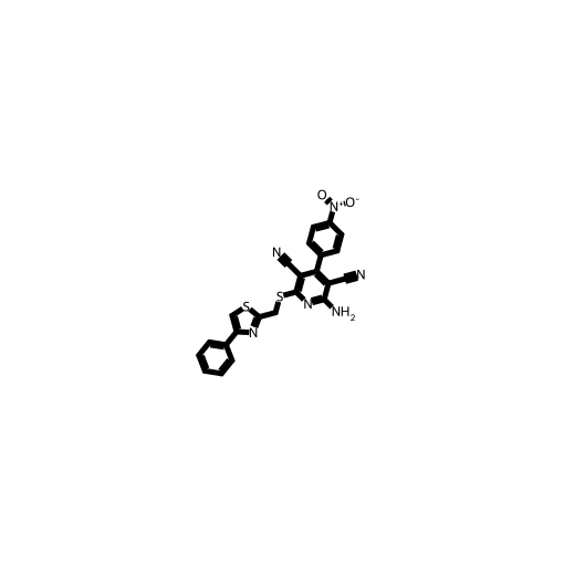 N#Cc1c(N)nc(SCc2nc(-c3ccccc3)cs2)c(C#N)c1-c1ccc([N+](=O)[O-])cc1